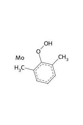 Cc1cccc(C)c1OO.[Mo]